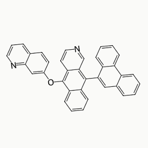 c1cnc2cc(Oc3c4ccccc4c(-c4cc5ccccc5c5ccccc45)c4cnccc34)ccc2c1